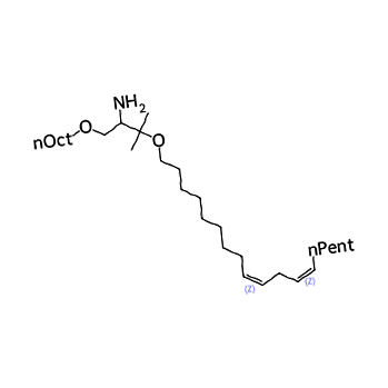 CCCCC/C=C\C/C=C\CCCCCCCCOC(C)(C)C(N)COCCCCCCCC